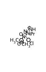 Cc1cc(N2C(=O)c3nc(-c4ccc[nH]4)n(C(C)C)c3C2c2ccc(Cl)cc2)cn(C)c1=O